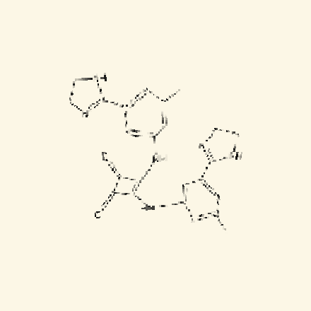 Cc1cc(Nc2c(Nc3cc(C)cc(C4=NCCN4)c3)c(=O)c2=O)cc(C2=NCCN2)c1